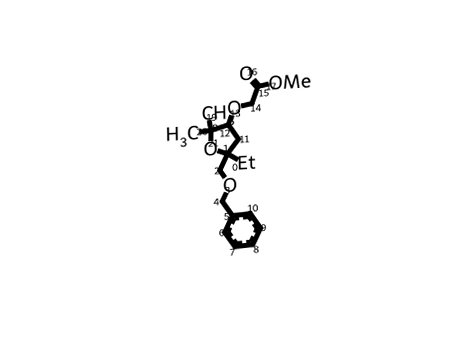 CCC1(COCc2ccccc2)CC(OCC(=O)OC)C(C)(C)O1